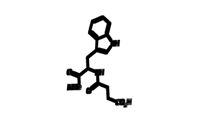 CNC(=O)C(Cc1c[nH]c2ccccc12)NC(=O)CCC(=O)O